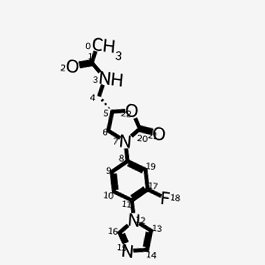 CC(=O)NC[C@H]1CN(c2ccc(-n3ccnc3)c(F)c2)C(=O)O1